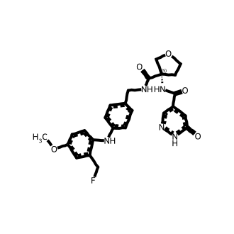 COc1ccc(Nc2ccc(CNC(=O)[C@]3(NC(=O)c4cn[nH]c(=O)c4)CCOC3)cc2)c(CF)c1